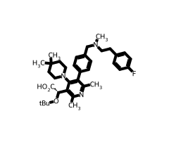 Cc1nc(C)c([C@H](OC(C)(C)C)C(=O)O)c(N2CCC(C)(C)CC2)c1-c1ccc(CN(C)CCc2ccc(F)cc2)cc1